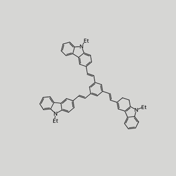 CCn1c2c(c3ccccc31)C=C(/C=C/c1cc(/C=C/c3ccc4c(c3)c3ccccc3n4CC)cc(/C=C/c3ccc4c(c3)c3ccccc3n4CC)c1)CC2